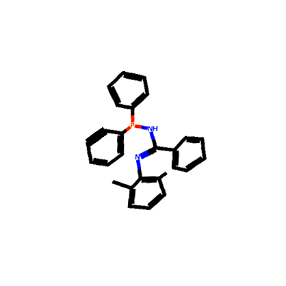 Cc1cccc(C)c1/N=C(/NP(c1c#cccc1)c1ccccc1)c1ccccc1